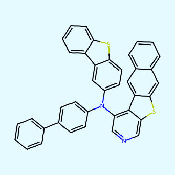 c1ccc(-c2ccc(N(c3ccc4sc5ccccc5c4c3)c3cncc4sc5cc6ccccc6cc5c34)cc2)cc1